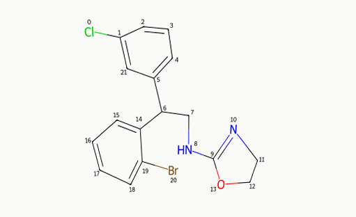 Clc1cccc(C(CNC2=NCCO2)c2ccccc2Br)c1